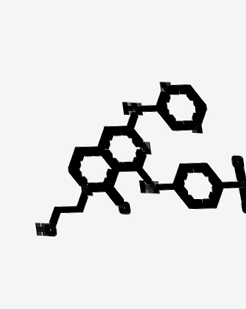 CS(=O)(=O)c1ccc(Nc2nc(Nc3cnccn3)cc3ccn(CCO)c(=O)c23)cc1